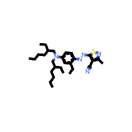 CCCCC(CC)CN(CC(CC)CCCC)c1ccc(/N=N/c2snc(C)c2C#N)c(CC)c1